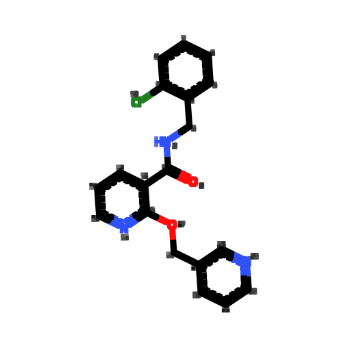 O=C(NCc1ccccc1Cl)c1cccnc1OCc1cccnc1